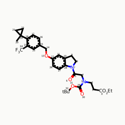 CCOC(=O)CCN(CC(=O)N1CCc2cc(OCc3ccc(C4(C)CC4)c(C(F)(F)F)c3)ccc21)C(=O)OC(C)(C)C